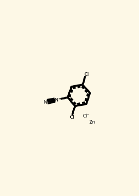 N#[N+]c1cc(Cl)ccc1Cl.[Cl-].[Zn]